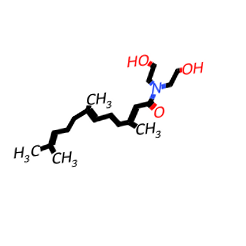 CC(C)=CCCC(C)=CCCC(C)=CC(=O)N(CCO)CCO